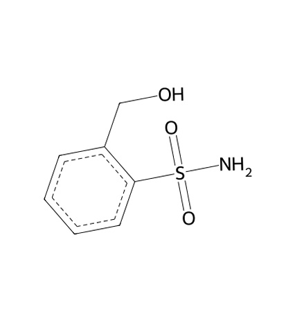 NS(=O)(=O)c1ccccc1CO